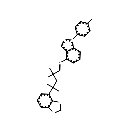 CC(O)(CNc1cccc2c1cnn2-c1ccc(F)cc1)CC(C)(C)c1cccc2c1OCO2